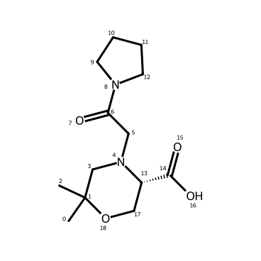 CC1(C)CN(CC(=O)N2CCCC2)[C@H](C(=O)O)CO1